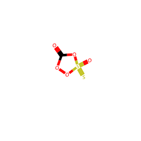 O=C1OOS(=O)(=S)O1